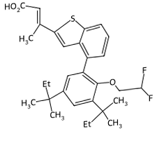 CCC(C)(C)c1cc(-c2cccc3sc(/C(C)=C/C(=O)O)cc23)c(OCC(F)F)c(C(C)(C)CC)c1